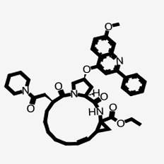 CCOC(=O)C12CC1C=CCCCCC[C@@H](CC(=O)N1CCCCC1)C(=O)N1C[C@H](Oc3cc(-c4ccccc4)nc4cc(OC)ccc34)C[C@H]1C(=O)N2